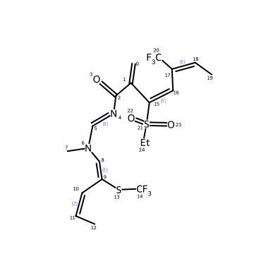 C=C(C(=O)/N=C/N(C)/C=C(\C=C/C)SC(F)(F)F)/C(=C\C(=C/C)C(F)(F)F)S(=O)(=O)CC